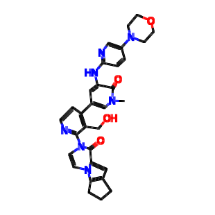 Cn1cc(-c2ccnc(-n3ccn4c5c(cc4c3=O)CCC5)c2CO)cc(Nc2ccc(N3CCOCC3)cn2)c1=O